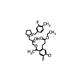 CCOC(=O)CCc1cc(Cl)c(F)cc1[C@@H](C)OC[C@H](O)CN1CCC[C@H]1Cc1ccc(C)c(F)c1